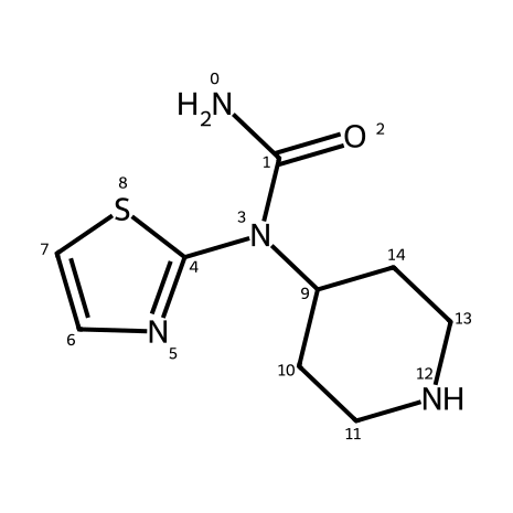 NC(=O)N(c1nccs1)C1CCNCC1